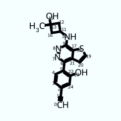 C#Cc1ccc(-c2nnc(NC3CC(C)(O)C3)c3sccc23)c(O)c1